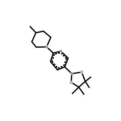 CC1CCN(c2ccc(B3OC(C)(C)C(C)(C)O3)cn2)CC1